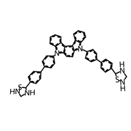 c1ccc2c(c1)c1c3c4ccccc4n(-c4ccc(-c5ccc(C6NCNS6)cc5)cc4)c3ccc1n2-c1ccc(-c2ccc(C3NCNS3)cc2)cc1